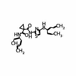 C=C/C=C\C(=C/C)NC(=O)C1(C(=O)Nc2nc(BC(/C=C\C)=C/C=C)cs2)CC1